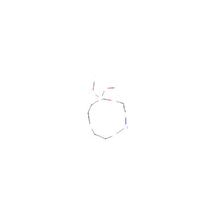 CCO[Si]1(OCC)CCCCCCNCCO1